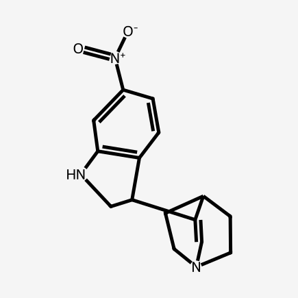 O=[N+]([O-])c1ccc2c(c1)NCC2C1=CN2CCC1CC2